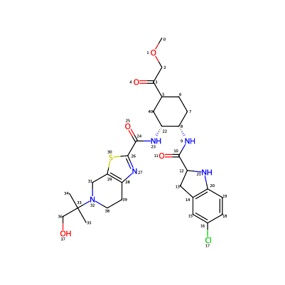 COCC(=O)C1CC[C@H](NC(=O)C2Cc3cc(Cl)ccc3N2)[C@H](NC(=O)c2nc3c(s2)CN(C(C)(C)CO)CC3)C1